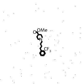 COC(=O)C1CCN(CCCCc2ccccc2C(F)(F)F)CC1